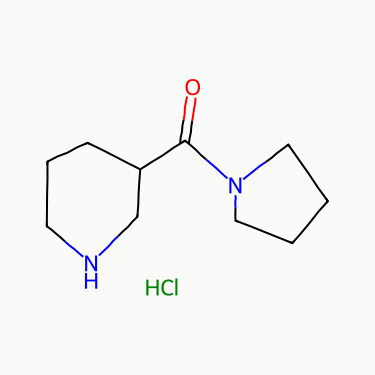 Cl.O=C(C1CCCNC1)N1CCCC1